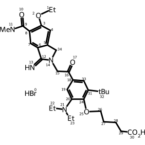 Br.CCOc1cc2c(cc1C(=O)NC)C(=N)N(CC(=O)c1cc(N(CC)CC)c(OCCCCC(=O)O)c(C(C)(C)C)c1)C2